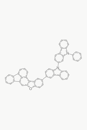 c1ccc(-n2c3ccccc3c3ccc(-n4c5ccccc5c5cc(-c6ccc7oc8cc9c%10c(cccc%10c8c7c6)-c6ccccc6-9)ccc54)cc32)cc1